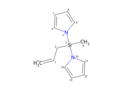 C=CC[Si](C)(n1cccc1)n1cccc1